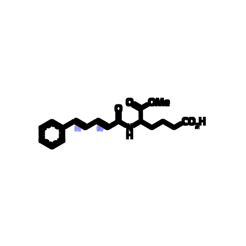 COC(=O)C(CCCC(=O)O)NC(=O)/C=C/C=C/c1ccccc1